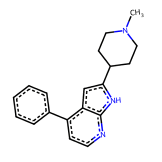 CN1CCC(c2cc3c(-c4ccccc4)ccnc3[nH]2)CC1